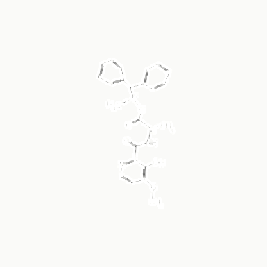 COc1ccnc(C(=O)N[C@@H](C)C(=O)O[C@@H](C)C(c2ccccc2)c2ccccc2)c1O